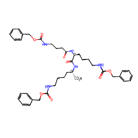 O=C(CCCNC(=O)OCc1ccccc1)N[C@@H](CCCCNC(=O)OCc1ccccc1)C(=O)N[C@@H](CCCCNC(=O)OCc1ccccc1)C(=O)O